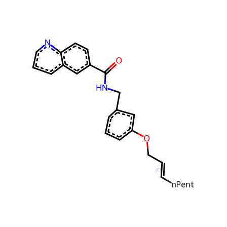 CCCCC/C=C/COc1cccc(CNC(=O)c2ccc3ncccc3c2)c1